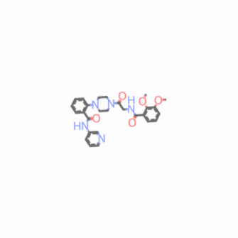 COc1cccc(C(=O)NCC(=O)N2CCN(c3ccccc3C(=O)Nc3cccnc3)CC2)c1OC